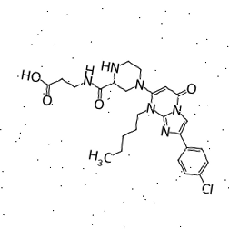 CCCCCn1c(N2CCNC(C(=O)NCCC(=O)O)C2)cc(=O)n2cc(-c3ccc(Cl)cc3)nc12